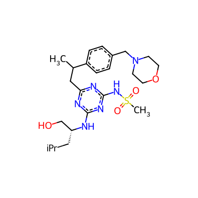 CC(C)C[C@H](CO)Nc1nc(CC(C)c2ccc(CN3CCOCC3)cc2)nc(NS(C)(=O)=O)n1